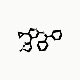 Cn1ccc(-c2cc(N=C(c3ccccc3)c3ccccc3)ncc2C2CC2)n1